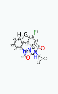 Cc1c(F)cc(C(=O)NC2CC2)c(N2COC=N2)c1-c1ccccc1